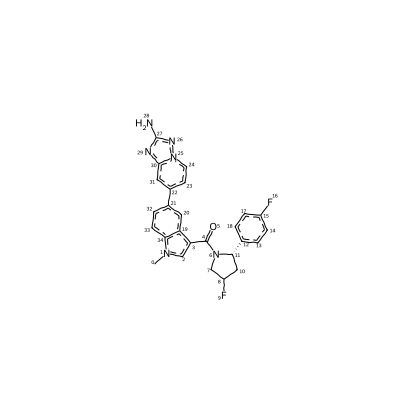 Cn1cc(C(=O)N2CC(F)C[C@H]2c2ccc(F)cc2)c2cc(-c3ccn4nc(N)nc4c3)ccc21